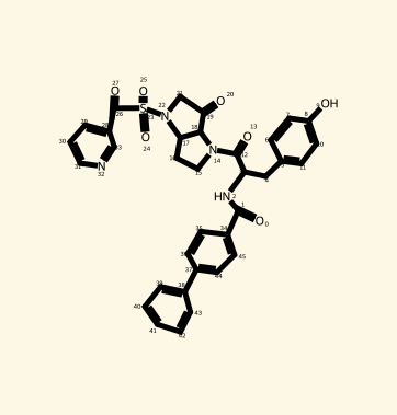 O=C(NC(Cc1ccc(O)cc1)C(=O)N1CCC2C1C(=O)CN2S(=O)(=O)C(=O)c1cccnc1)c1ccc(-c2ccccc2)cc1